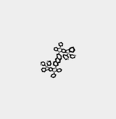 c1ccc(N2c3ccccc3N(c3ccc4cc5cc(N6c7ccccc7N(c7ccccc7)c7cc8c(cc76)[Si](c6cccnc6)(c6cccnc6)c6ccccc6-8)ccc5cc4c3)c3cc4c(cc32)-c2ccccc2[Si]4(c2cccnc2)c2cccnc2)cc1